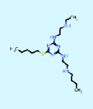 CCCCCSc1nc(NCCNCC)nc(NCCNCCCC)n1